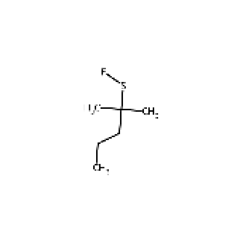 CCCC(C)(C)SF